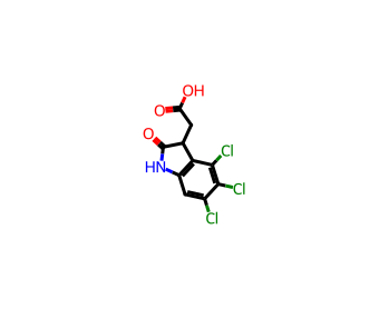 O=C(O)CC1C(=O)Nc2cc(Cl)c(Cl)c(Cl)c21